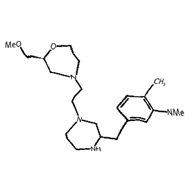 CNc1cc(CC2CN(CCN3CCO[C@H](COC)C3)CCN2)ccc1C